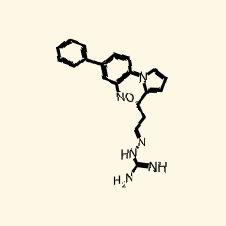 N=C(N)N/N=C/CCc1cccn1-c1ccc(-c2ccccc2)cc1[N+](=O)[O-]